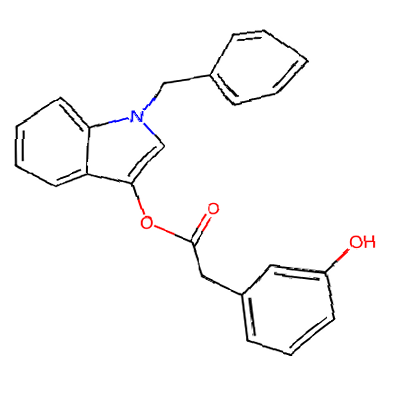 O=C(Cc1cccc(O)c1)Oc1cn(Cc2ccccc2)c2ccccc12